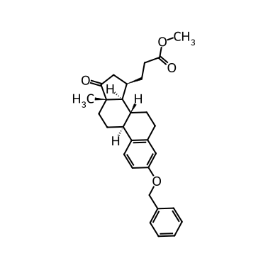 COC(=O)CC[C@@H]1CC(=O)[C@@]2(C)CC[C@@H]3c4ccc(OCc5ccccc5)cc4CC[C@H]3[C@H]12